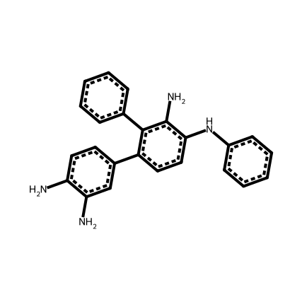 Nc1ccc(-c2ccc(Nc3ccccc3)c(N)c2-c2ccccc2)cc1N